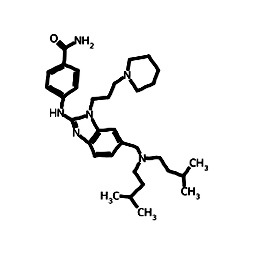 CC(C)CCN(CCC(C)C)Cc1ccc2nc(Nc3ccc(C(N)=O)cc3)n(CCCN3CCCCC3)c2c1